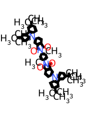 Cc1cc(N2C(=O)c3ccc(-n4c5ccc(C(C)(C)C)cc5c5cc(C(C)(C)C)ccc54)cc3C2=O)c(C)cc1N1C(=O)c2ccc(-n3c4ccc(C(C)(C)C)cc4c4cc(C(C)(C)C)ccc43)cc2C1=O